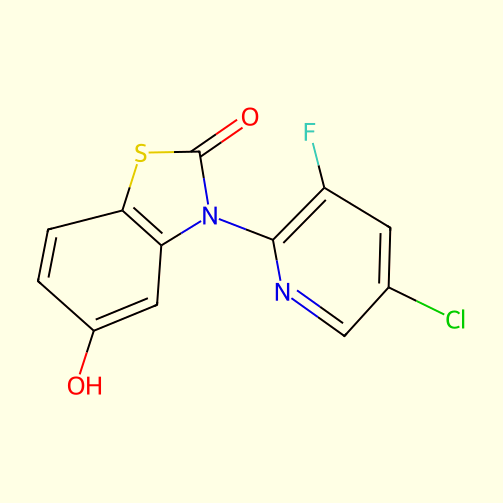 O=c1sc2ccc(O)cc2n1-c1ncc(Cl)cc1F